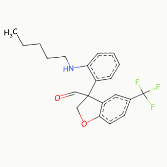 CCCCCNc1ccccc1C1(C=O)COc2ccc(C(F)(F)F)cc21